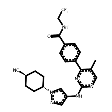 Cc1cnc(Nc2cnn([C@H]3CC[C@H](C#N)CC3)c2)nc1-c1ccc(C(=O)NCC(F)(F)F)cc1